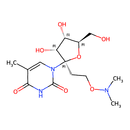 Cc1cn([C@]2(CCON(C)C)O[C@H](CO)[C@@H](O)[C@H]2O)c(=O)[nH]c1=O